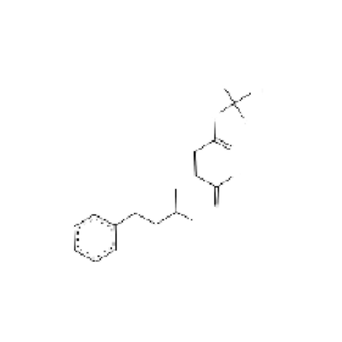 CC(CCc1ccccc1)C[C@H](CC(=O)OC(C)(C)C)C(=O)O